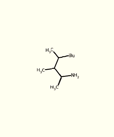 CCC(C)C(C)C(C)C(C)N